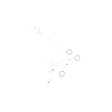 CCC(=O)NCCNC(=O)/N=C(/N)NCCC[C@@H](NC(=O)C(c1ccccc1)c1cccc(OCCOCCOCCOCCNC(=O)OC(C)(C)C)c1)C(=O)NCc1ccc(O)cc1